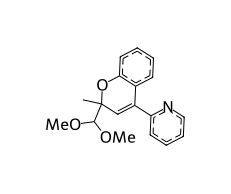 COC(OC)C1(C)C=C(c2ccccn2)c2ccccc2O1